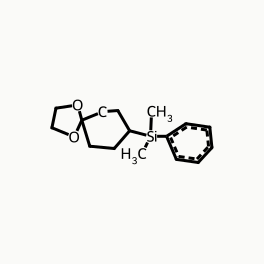 C[Si](C)(c1ccccc1)C1CCC2(CC1)OCCO2